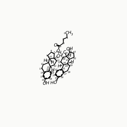 CCCCC(=O)O[C@H]1CC[C@H]2[C@@H]3CCc4cc(O)ccc4[C@H]3CC[C@]12C.C[C@]12CC[C@@H]3c4ccc(O)cc4CC[C@H]3[C@@H]1CC[C@@H]2O